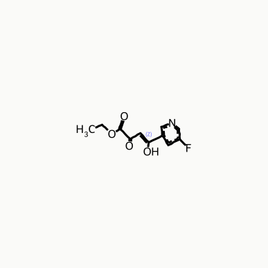 CCOC(=O)C(=O)/C=C(\O)c1cncc(F)c1